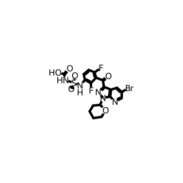 O=C(O)NS(=O)(=O)Nc1ccc(F)c(C(=O)c2nn(C3CCCCO3)c3ncc(Br)cc23)c1F